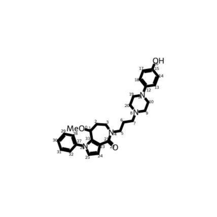 COC1CCN(CCCN2CCN(c3ccc(O)cc3)CC2)C(=O)c2ccn(-c3ccccc3)c21